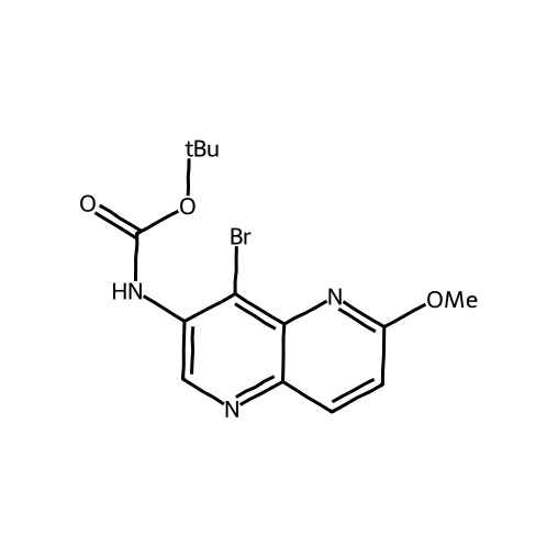 COc1ccc2ncc(NC(=O)OC(C)(C)C)c(Br)c2n1